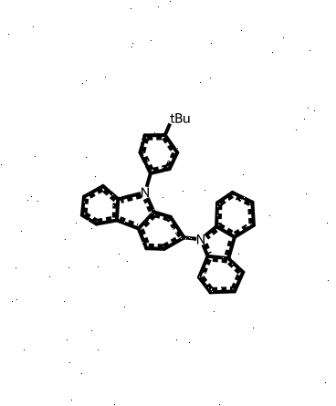 CC(C)(C)c1ccc(-n2c3ccccc3c3ccc(-n4c5ccccc5c5ccccc54)cc32)cc1